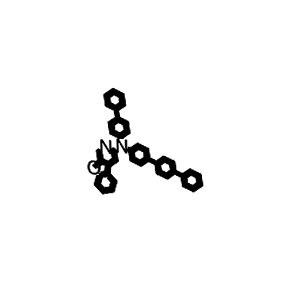 c1ccc(-c2ccc(-c3ccc(N(c4ccc(-c5ccccc5)cc4)c4cc5c(cn4)oc4ccccc45)cc3)cc2)cc1